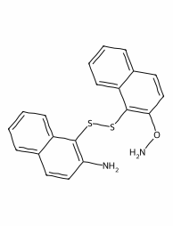 NOc1ccc2ccccc2c1SSc1c(N)ccc2ccccc12